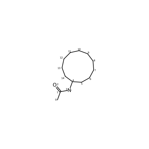 CC(=O)[N]C1CCCCCCCCCC1